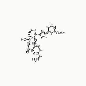 COc1cc(-n2ccc(N3CCO[C@H](C(O)c4nc(=O)c5cc(CN)ccc5[nH]4)C3=O)n2)ccn1